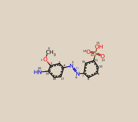 COc1cc(/N=N/c2cccc(S(=O)(=O)O)c2)ccc1[NH]